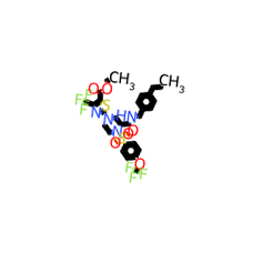 CCCc1ccc(CNC(=O)C2CN(c3nc(C(F)(F)F)c(C(=O)OCC)s3)CCN2S(=O)(=O)c2ccc(OC(F)(F)F)cc2)cc1